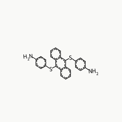 Nc1ccc(Sc2c3ccccc3c(Sc3ccc(N)cc3)c3ccccc23)cc1